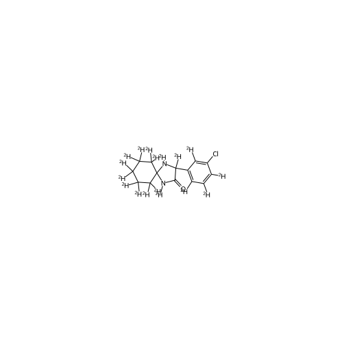 [2H]c1c([2H])c(Cl)c([2H])c(C2([2H])C(=O)N([2H])C3(N2[2H])C([2H])([2H])C([2H])([2H])C([2H])([2H])C([2H])([2H])C3([2H])[2H])c1[2H]